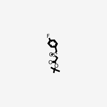 CC(C)(C)OC(=O)C[S+]([O-])Cc1ccc(F)cc1